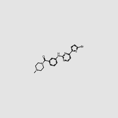 CN1CCN(C(=O)c2cccc(Nc3nccc(-c4ccc(Br)s4)n3)c2)CC1